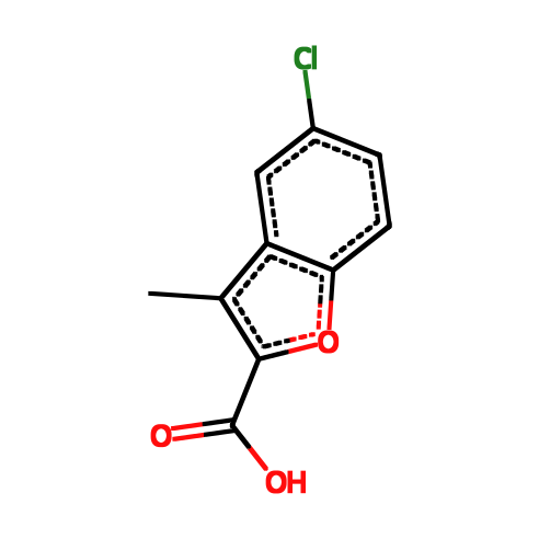 Cc1c(C(=O)O)oc2ccc(Cl)cc12